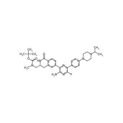 CC(C)N1CCN(c2ccc(-c3nc(-c4ccc5c(c4)CC(CN(C)C(=O)OC(C)(C)C)NC5=O)c(N)nc3F)cc2)CC1